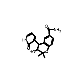 CC1(C)Oc2ccc(C(N)=O)cc2C(c2ccc[nH]c2=O)C1O